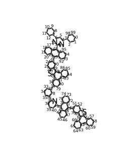 c1ccc(-c2cc(-c3ccccc3)nc(-c3c4ccccc4c(-c4ccc5sc6c7cc(-c8cccc(-c9cccc(-c%10c%11ccccc%11c(-c%11ccc%12sc%13c%14ccccc%14c%14ccccc%14c%13c%12c%11)c%11ccccc%10%11)n9)c8)ccc7c7ccccc7c6c5c4)c4ccccc34)n2)cc1